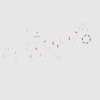 CCCC(NC(=O)[C@@H]1[C@@H]2C(CN1C(=O)C(NCCC(C)(C)C)C(C)(C)C)C2(C)C)C(=O)C(=O)NCC(=O)N[C@H](C(=O)N(C)C)c1ccccc1